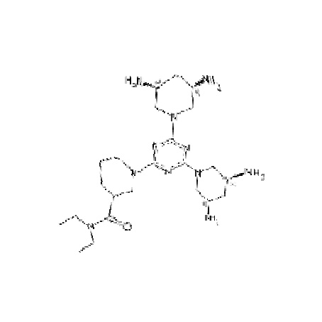 CCN(CC)C(=O)C1CCCN(c2nc(N3C[C@H](N)C[C@H](N)C3)nc(N3C[C@H](N)C[C@H](N)C3)n2)C1